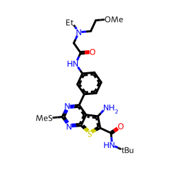 CCN(CCOC)CC(=O)Nc1cccc(-c2nc(SC)nc3sc(C(=O)NC(C)(C)C)c(N)c23)c1